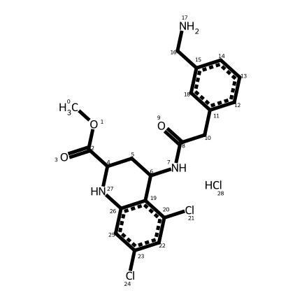 COC(=O)C1CC(NC(=O)Cc2cccc(CN)c2)c2c(Cl)cc(Cl)cc2N1.Cl